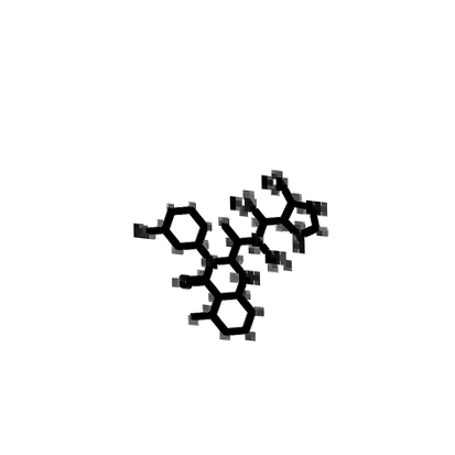 CCC1CCCC(N2C(=O)C3C(C)CCCC3NC2C(C)N(N)C(N)C2NCNC2N)C1